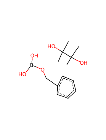 CC(C)(O)C(C)(C)O.OB(O)OCc1ccccc1